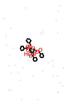 O=C(OC[C@H]1O[C@H](OCc2ccccc2)[C@@H](OC(=O)c2ccccc2)[C@@H](O)[C@@H]1OC(=O)c1ccccc1)c1ccccc1